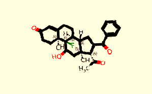 CC(=O)[C@H]1C(C(=O)c2ccccc2)C[C@H]2[C@@H]3CCC4=CC(=O)CC[C@]4(C)[C@@]3(F)C(O)C[C@]12C